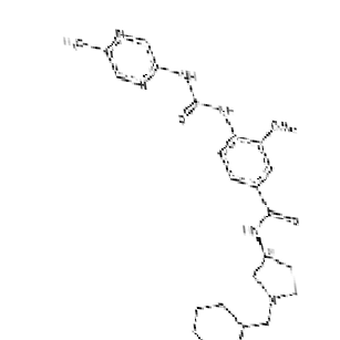 COc1cc(C(=O)N[C@H]2CCN(CC3CCCCC3)C2)ccc1NC(=O)Nc1cnc(C)cn1